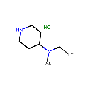 CC(=O)N(CC(C)C)C1CCNCC1.Cl